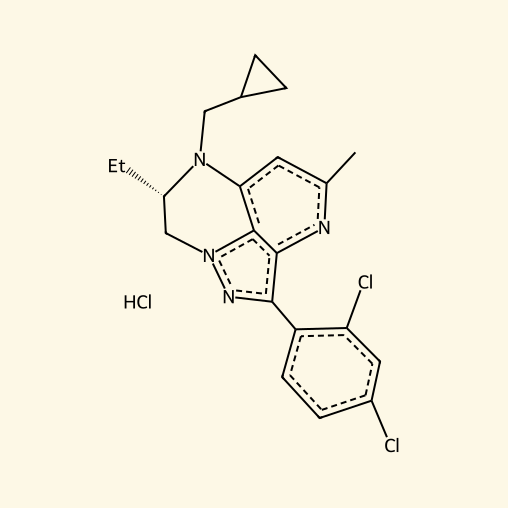 CC[C@H]1Cn2nc(-c3ccc(Cl)cc3Cl)c3nc(C)cc(c32)N1CC1CC1.Cl